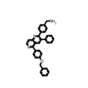 NCc1ccc(-c2nc3ccnc(-c4ccc(OCc5ccccc5)cc4)c3cc2-c2ccccc2)cc1